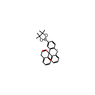 CC1(C)OB(c2ccc3c(c2)C2(c4ccccc4Cc4ccccc42)c2ccccc2S3)OC1(C)C